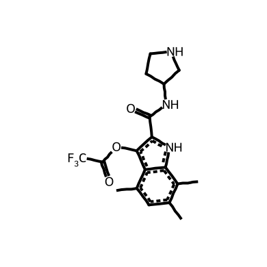 Cc1cc(C)c2c(OC(=O)C(F)(F)F)c(C(=O)NC3CCNC3)[nH]c2c1C